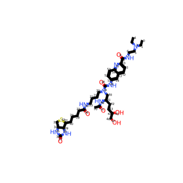 CCN(CC)CCNC(=O)c1ccc2cc(NC(=O)N(CCCCNC(=O)CCCCC3SCC4NC(=O)NC43)CC(CCC(O)CO)NC(C)=O)ccc2n1